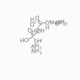 O.O=P(O)(O)O.O=[Si](O)O.[AlH3].[AlH3].[AlH3].[MgH2]